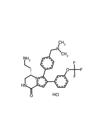 CN(C)Cc1ccc(-c2c(-c3cccc(OC(F)(F)F)c3)cc3n2[C@@H](CCN)CNC3=O)cc1.Cl